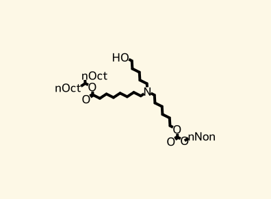 CCCCCCCCCOC(=O)OCCCCCCN(CCCCCO)CCCCCCCC(=O)OC(CCCCCCCC)CCCCCCCC